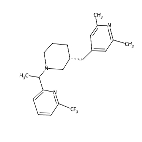 Cc1cc(C[C@H]2CCCN(C(C)c3cccc(C(F)(F)F)n3)C2)cc(C)n1